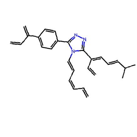 C=C/C=C\C=C\n1c(/C(C=C)=C/C=C/C(C)C)nnc1-c1ccc(C(=C)C=C)cc1